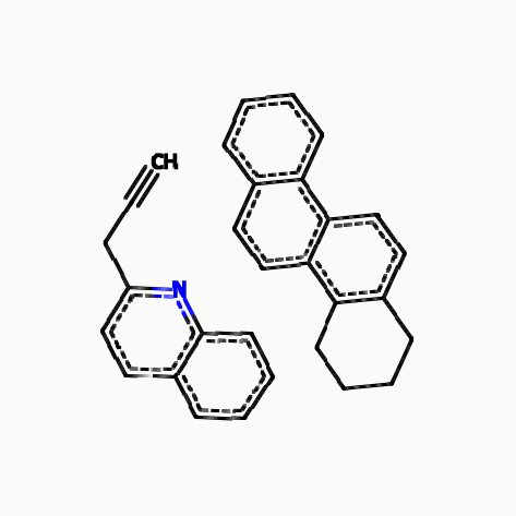 C#CCc1ccc2ccccc2n1.c1ccc2c(c1)ccc1c3c(ccc12)CCCC3